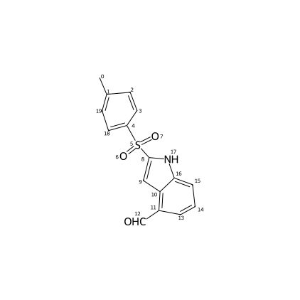 Cc1ccc(S(=O)(=O)c2cc3c(C=O)cccc3[nH]2)cc1